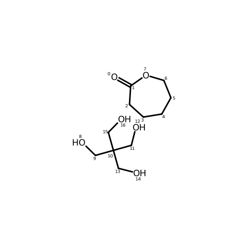 O=C1CCCCCO1.OCC(CO)(CO)CO